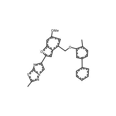 COc1cc(COc2cc(-c3cc[c]cc3)ccc2C)c2cc(-c3cn4nc(C)sc4n3)oc2c1